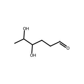 CC(O)C(O)CC[C]=O